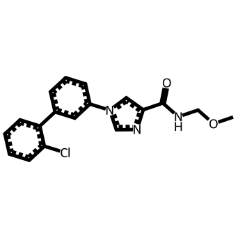 COCNC(=O)c1cn(-c2cccc(-c3ccccc3Cl)c2)cn1